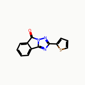 O=C1c2ccccc2-c2nc(-c3cccs3)nn21